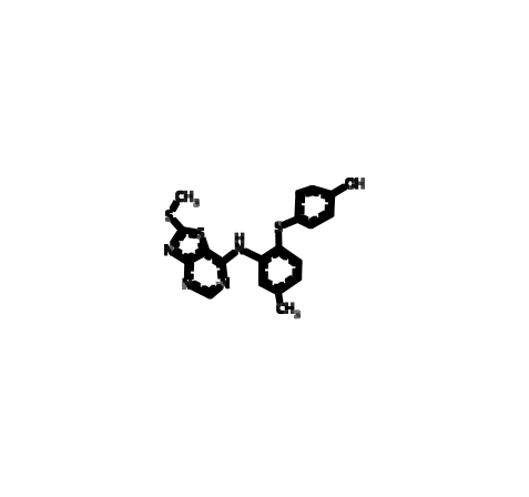 CSc1nc2ncnc(Nc3cc(C)ccc3Sc3ccc(O)cc3)c2s1